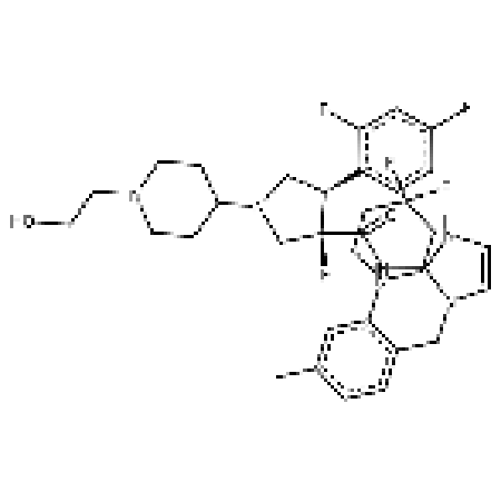 Cc1ccc(CN2C=CNC2NC(=O)[C@]2(F)CN(C3CCN(CCO)CC3)C[C@H]2c2ccc(F)cc2F)c(N2CCC(F)(F)CC2)c1